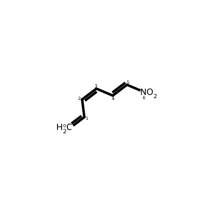 C=C/C=C\C=C\[N+](=O)[O-]